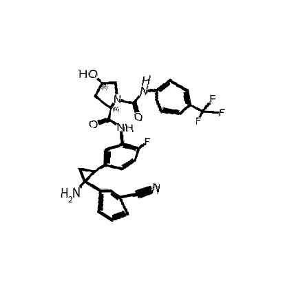 N#Cc1cccc(C2(N)CC2c2ccc(F)c(NC(=O)[C@H]3C[C@@H](O)CN3C(=O)Nc3ccc(C(F)(F)F)cc3)c2)c1